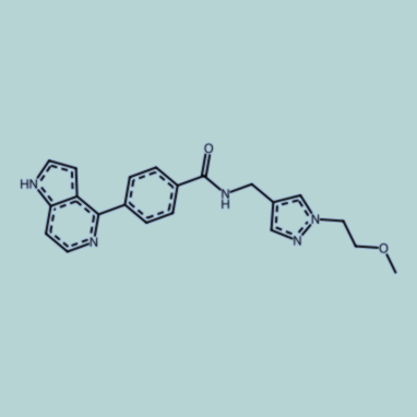 COCCn1cc(CNC(=O)c2ccc(-c3nccc4[nH]ccc34)cc2)cn1